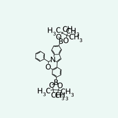 CC1(C)OB(c2ccc3c(c2)OC(c2ccccc2)n2c-3cc3cc(B4OC(C)(C)C(C)(C)O4)ccc32)OC1(C)C